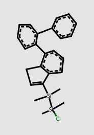 C[Si](C)(Cl)[Si](C)(C)C1=CCc2c1cccc2-c1ccccc1-c1ccccc1